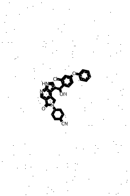 N#CC1CCC(N2Cc3c(cnc4[nH]cc(C(O)c5ccc(Oc6ccccc6)cc5Cl)c34)C2=O)CC1